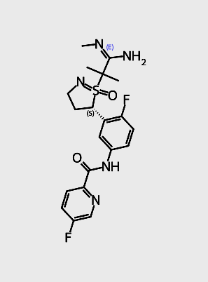 C/N=C(/N)C(C)(C)S1(=O)=NCC[C@H]1c1cc(NC(=O)c2ccc(F)cn2)ccc1F